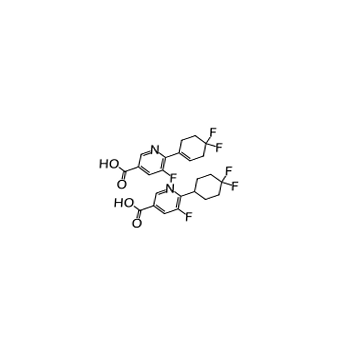 O=C(O)c1cnc(C2=CCC(F)(F)CC2)c(F)c1.O=C(O)c1cnc(C2CCC(F)(F)CC2)c(F)c1